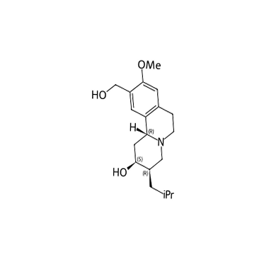 COc1cc2c(cc1CO)[C@H]1C[C@H](O)[C@H](CC(C)C)CN1CC2